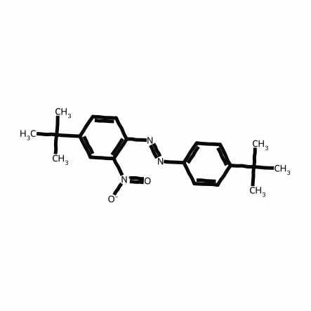 CC(C)(C)c1ccc(/N=N/c2ccc(C(C)(C)C)cc2[N+](=O)[O-])cc1